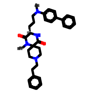 CCCN1C(=O)[C@H](CCCN(C(C)=O)c2ccc(-c3ccccc3)cc2)NC(=O)C12CCN(CCc1ccccc1)CC2